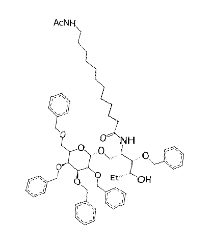 CC[C@@H](O)[C@@H](OCc1ccccc1)[C@H](CO[C@H]1OC(COCc2ccccc2)[C@H](OCc2ccccc2)[C@H](OCc2ccccc2)C1OCc1ccccc1)NC(=O)CCCCCCCCCCCNC(C)=O